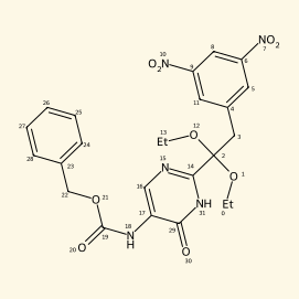 CCOC(Cc1cc([N+](=O)[O-])cc([N+](=O)[O-])c1)(OCC)c1ncc(NC(=O)OCc2ccccc2)c(=O)[nH]1